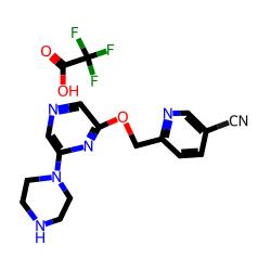 N#Cc1ccc(COc2cncc(N3CCNCC3)n2)nc1.O=C(O)C(F)(F)F